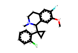 COc1cc2c(cc1F)CCN(C)C2C1(c2ccccc2Cl)CC1